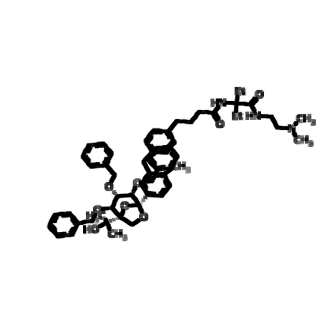 CCC(CC)(NC(=O)CCCc1ccc(Cc2cc([C@]34OC[C@](C(C)(C)O)(O3)[C@@H](OCc3ccccc3)[C@H](OCc3ccccc3)[C@H]4OCc3ccccc3)ccc2C)cc1)C(=O)NCCN(C)C